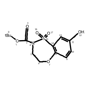 CC(C)(C)OC(=O)N1CCOc2ccc(O)cc2S1(=O)=O